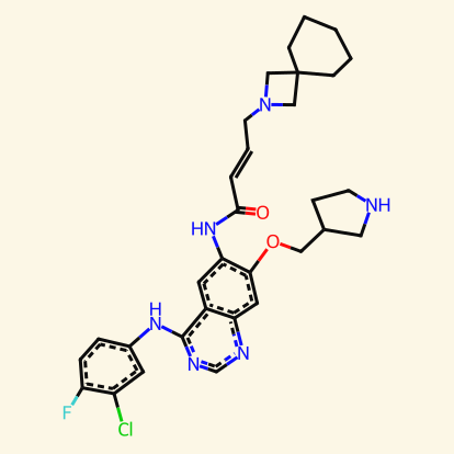 O=C(/C=C/CN1CC2(CCCCC2)C1)Nc1cc2c(Nc3ccc(F)c(Cl)c3)ncnc2cc1OCC1CCNC1